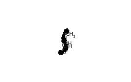 CC1CCCN1CCCn1cc2ccc(NC(=O)Nc3ccc(Oc4ccccc4)cc3)cc2n1